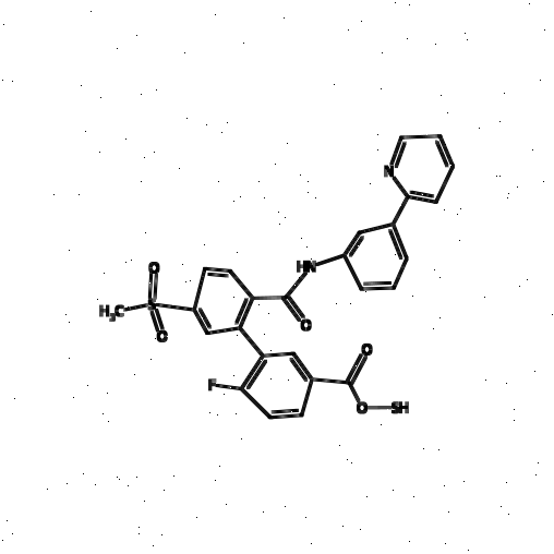 CS(=O)(=O)c1ccc(C(=O)Nc2cccc(-c3ccccn3)c2)c(-c2cc(C(=O)OS)ccc2F)c1